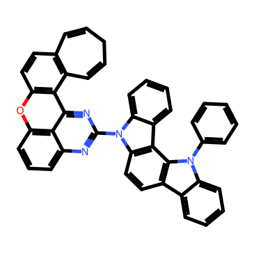 C1=Cc2ccc3c(c2C=CC1)-c1nc(-n2c4ccccc4c4c2ccc2c5ccccc5n(-c5ccccc5)c24)nc2cccc(c12)O3